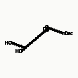 CCCCCCCCCCCCCCCCCCCCCCC(=O)OC(=O)CCCCCCCCCCCCCCCCCCCCCC(CCCO)CCCCCCCCCCCO